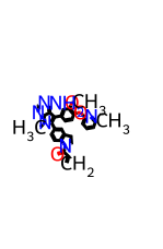 C=CC(=O)N1CCc2cc(-c3c(-c4ccc(Oc5cccc(C)n5)c(OC)c4)c4c(N)ncnc4n3C)ccc21